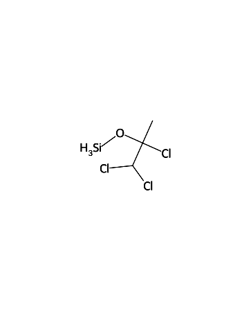 CC(Cl)(O[SiH3])C(Cl)Cl